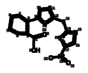 O=C(O)c1ccccc1-c1csc(Sc2ncc([N+](=O)[O-])s2)n1